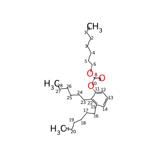 CCCCCCCOC(=O)Oc1cccc(CCCCCC)c1CCCCCC